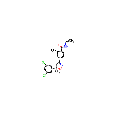 C=CNC(=O)c1ccc(C2=NOC(c3cc(Cl)cc(Cl)c3)(C(F)(F)F)C2)cc1C